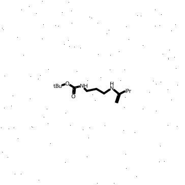 C=C(NCCCNC(=O)OC(C)(C)C)C(C)C